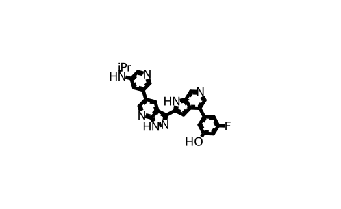 CC(C)Nc1cncc(-c2cnc3[nH]nc(-c4cc5c(-c6cc(O)cc(F)c6)cncc5[nH]4)c3c2)c1